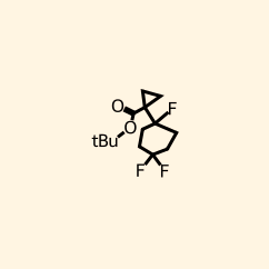 CC(C)(C)OC(=O)C1(C2(F)CCC(F)(F)CC2)CC1